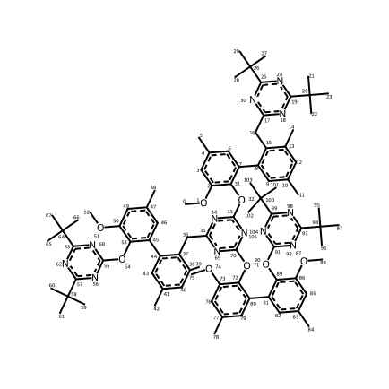 COc1cc(C)cc(-c2cc(C)cc(C)c2Cc2nc(C(C)(C)C)nc(C(C)(C)C)n2)c1Oc1nc(Cc2c(C)cc(C)cc2-c2cc(C)cc(OC)c2Oc2nc(C(C)(C)C)nc(C(C)(C)C)n2)nc(Oc2c(OC)cc(C)cc2-c2cc(C)cc(OC)c2Oc2nc(C(C)(C)C)nc(C(C)(C)C)n2)n1